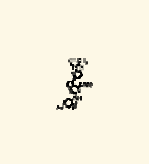 CNc1nc(N[C@@H]2CCN(C(C)=O)CC2(F)F)nn2ccc(-c3ccc4nc(C)n(CC(F)(F)F)c4n3)c12